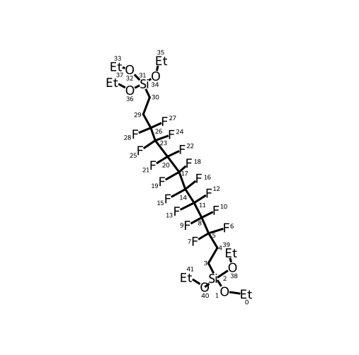 CCO[Si](CCC(F)(F)C(F)(F)C(F)(F)C(F)(F)C(F)(F)C(F)(F)C(F)(F)C(F)(F)CC[Si](OCC)(OCC)OCC)(OCC)OCC